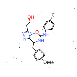 COc1ccc(CC(NC(=O)Nc2ccc(Cl)cc2)c2nnc(CCO)[nH]2)cc1